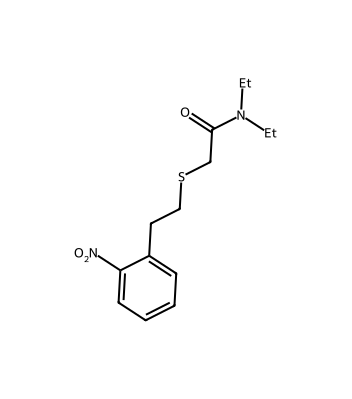 CCN(CC)C(=O)CSCCc1ccccc1[N+](=O)[O-]